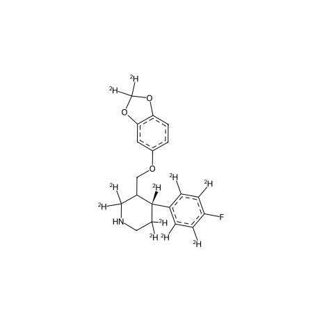 [2H]c1c([2H])c([C@@]2([2H])C(COc3ccc4c(c3)OC([2H])([2H])O4)C([2H])([2H])NCC2([2H])[2H])c([2H])c([2H])c1F